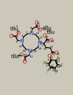 CC(C)(C)OC(=O)CN1CCN(CC(=O)OC(C)(C)C)CCN(C(CCC(=O)Oc2c(F)c(F)c(F)c(F)c2F)C(=O)OC(C)(C)C)CCN(CC(=O)OC(C)(C)C)CC1